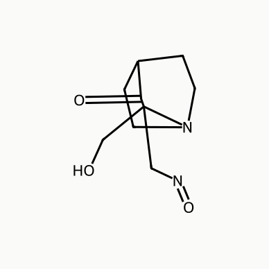 O=NCC1(CO)C(=O)C2CCN1CC2